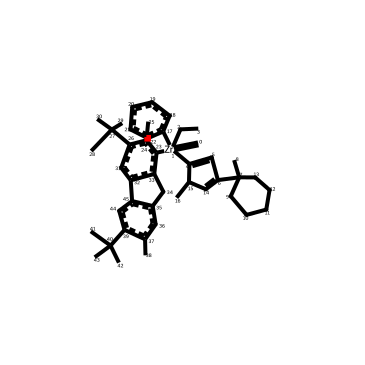 [CH2]=[Zr]([CH2]C)([C]1=CC(C2(C)CCCCC2)=CC1C)([c]1ccccc1)[c]1c(C)c(C(C)(C)C)cc2c1Cc1cc(C)c(C(C)(C)C)cc1-2